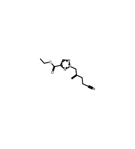 C=C(CCC#N)Cn1ncc(C(=O)OCC)n1